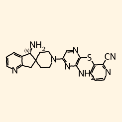 N#Cc1ncccc1Sc1ncc(N2CCC3(CC2)Cc2ncccc2[C@H]3N)nc1N